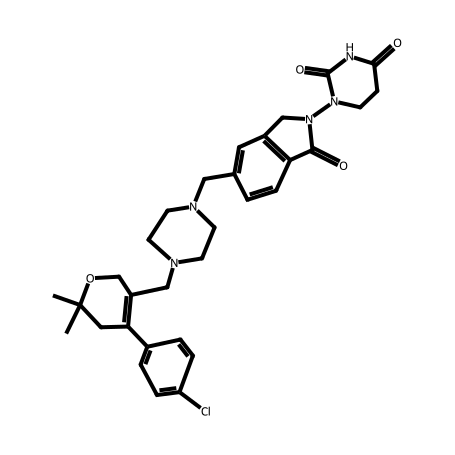 CC1(C)CC(c2ccc(Cl)cc2)=C(CN2CCN(Cc3ccc4c(c3)CN(N3CCC(=O)NC3=O)C4=O)CC2)CO1